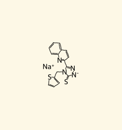 S=c1[n-]nc(-c2ccc3ccccc3n2)n1Cc1cccs1.[Na+]